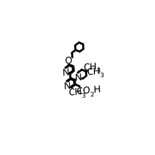 Cc1ncc(-c2ccc(OCCC3CCCCC3)cn2)c(N2CCC(C)(C)CC2)c1CC(=O)O